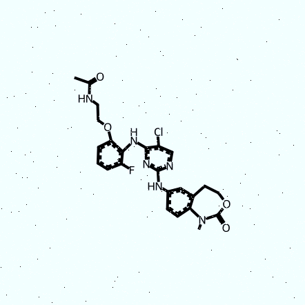 CC(=O)NCCOc1cccc(F)c1Nc1nc(Nc2ccc3c(c2)CCOC(=O)N3C)ncc1Cl